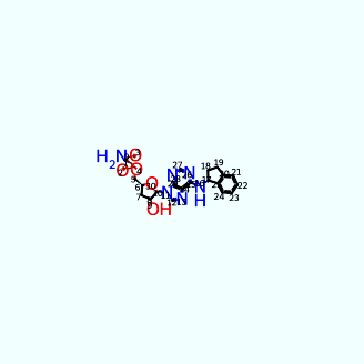 NS(=O)(=O)OC[C@@H]1C[C@@H](O)[C@H](n2cnc3c(N[C@H]4CCc5ccccc54)ncnc32)O1